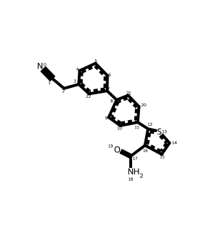 N#CCc1cccc(-c2ccc(-c3sccc3C(N)=O)cc2)c1